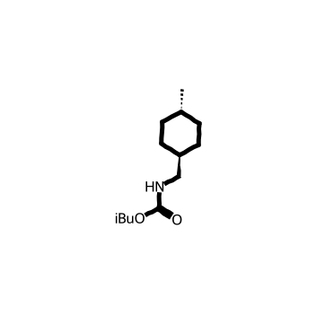 CC(C)COC(=O)NC[C@H]1CC[C@H](C)CC1